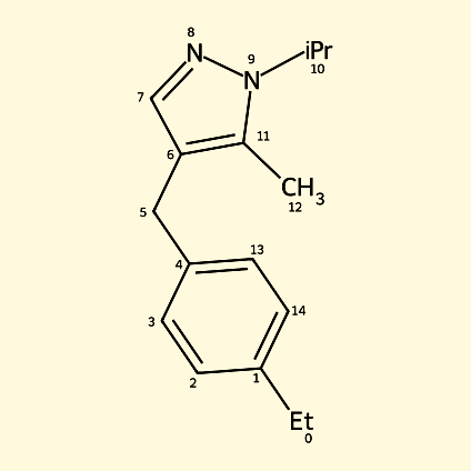 CCc1ccc(Cc2cnn(C(C)C)c2C)cc1